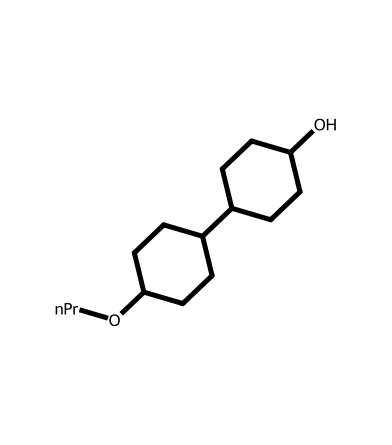 CCCOC1CCC(C2CCC(O)CC2)CC1